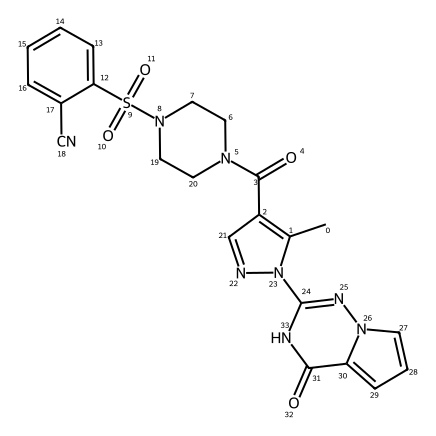 Cc1c(C(=O)N2CCN(S(=O)(=O)c3ccccc3C#N)CC2)cnn1-c1nn2cccc2c(=O)[nH]1